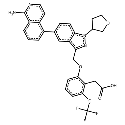 Nc1nccc2c(-c3ccc4c(c3)c(COc3cccc(OC(F)(F)F)c3CC(=O)O)nn4C3CCOC3)cccc12